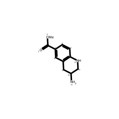 COC(=O)c1ccc2c(c1)CC(N)CN2